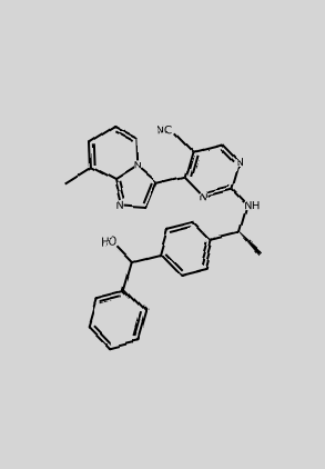 Cc1cccn2c(-c3nc(N[C@@H](C)c4ccc(C(O)c5ccccc5)cc4)ncc3C#N)cnc12